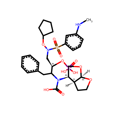 CNc1cccc(S(=O)(=O)N(C[C@@H](OP(=O)(O)O)C(Cc2ccccc2)N(C(=O)O)[C@H]2CO[C@H]3OCC[C@H]32)OC2CCCC2)c1